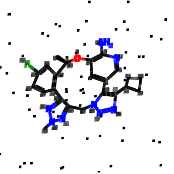 C[C@H]1Oc2cc(cnc2N)-c2c(C3CCC3)nnn2Cc2nn(C)nc2-c2ccc(F)cc21